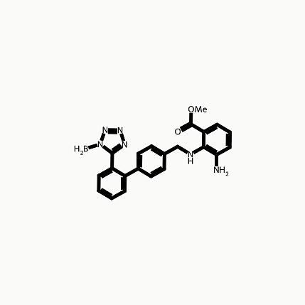 Bn1nnnc1-c1ccccc1-c1ccc(CNc2c(N)cccc2C(=O)OC)cc1